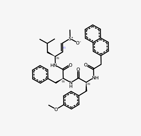 COc1ccc(C[C@H](NC(=O)Cc2ccc3ccccc3c2)C(=O)N[C@@H](Cc2ccccc2)C(=O)N[C@H](/C=C/[S+](C)[O-])CC(C)C)cc1